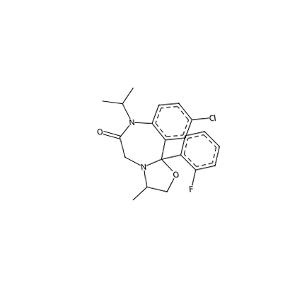 CC(C)N1C(=O)CN2C(C)COC2(c2ccccc2F)c2cc(Cl)ccc21